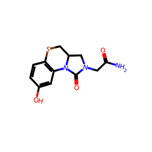 NC(=O)CN1CC2CSc3ccc(O)cc3N2C1=O